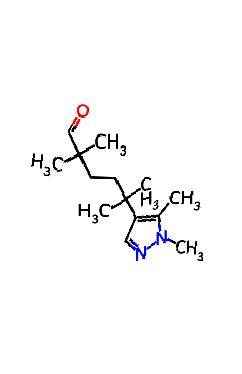 Cc1c(C(C)(C)CCC(C)(C)C=O)cnn1C